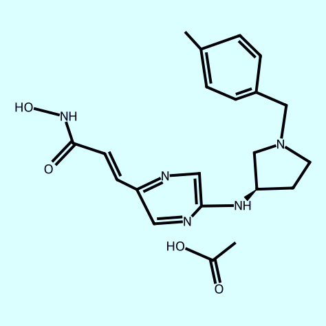 CC(=O)O.Cc1ccc(CN2CC[C@@H](Nc3cnc(C=CC(=O)NO)cn3)C2)cc1